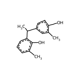 Cc1cc(C(C)c2cccc(C)c2O)ccc1O